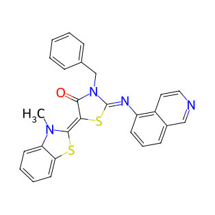 CN1/C(=C2/S/C(=N\c3cccc4cnccc34)N(Cc3ccccc3)C2=O)Sc2ccccc21